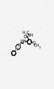 CNC(=O)c1cc(OC)ccc1NCCN1CCN(c2ccccc2)CC1